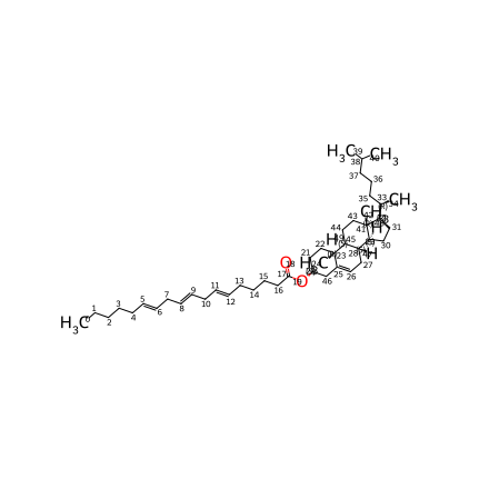 CCCCCC=CCC=CCC=CCCCCC(=O)O[C@H]1CC[C@@]2(C)C(=CC[C@H]3[C@@H]4CC[C@H]([C@H](C)CCCC(C)C)[C@@]4(C)CC[C@@H]32)C1